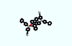 N#Cc1ccc(N(c2ccc(C3C=CC=CC3)cc2)c2ccc3c(c2)C2(c4ccccc4-c4ccccc42)c2c-3c3ccccc3c3cc(N(c4ccc(C#N)cc4)c4ccc(-c5ccccc5)cc4)ccc23)cc1